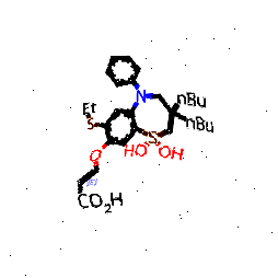 CCCCC1(CCCC)CN(c2ccccc2)c2cc(SCC)c(O/C=C/C(=O)O)cc2S(O)(O)C1